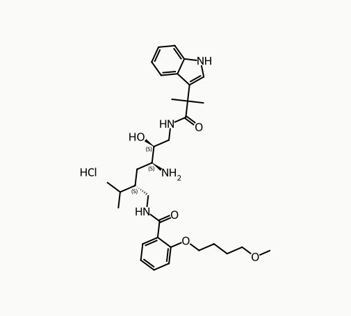 COCCCCOc1ccccc1C(=O)NC[C@@H](C[C@H](N)[C@@H](O)CNC(=O)C(C)(C)c1c[nH]c2ccccc12)C(C)C.Cl